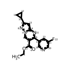 CCOC(=O)c1cn2nc(C3CC3)cc2nc1-c1cncc(F)c1